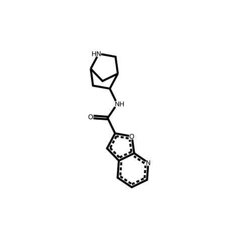 O=C(NC1CC2CC1CN2)c1cc2cccnc2o1